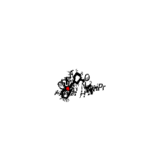 CC(C)n1cc(NC(=O)c2ccc(F)c(C(F)(F)C(=O)N3[C@@H]4CC[C@H]3CC(O)C4)c2)cn1